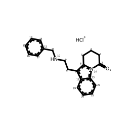 Cl.O=C1CCCc2c(CCNCc3ccccc3)c3ccccc3n21